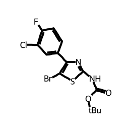 CC(C)(C)OC(=O)Nc1nc(-c2ccc(F)c(Cl)c2)c(Br)s1